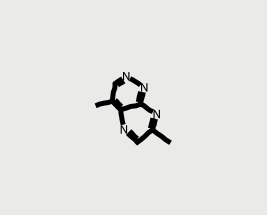 Cc1cnc2c(C)cnnc2n1